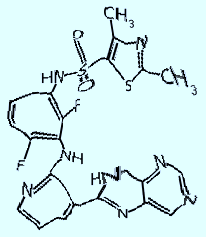 Cc1nc(C)c(S(=O)(=O)Nc2ccc(F)c(Nc3ncccc3-c3nc4cncnc4[nH]3)c2F)s1